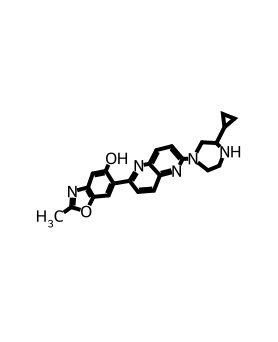 Cc1nc2cc(O)c(-c3ccc4nc(N5CCNC(C6CC6)C5)ccc4n3)cc2o1